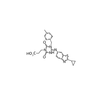 Cc1ccc(Cn2c(=O)n(CCC(=O)O)c(=O)[nH]/c2=N\c2ccc3nc(C4CC4)sc3c2)cc1